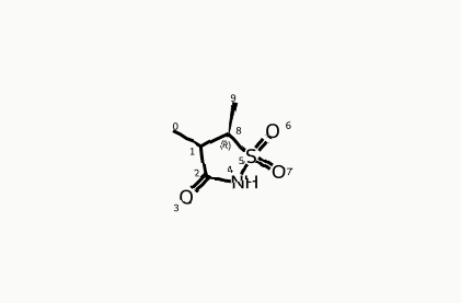 CC1C(=O)NS(=O)(=O)[C@@H]1C